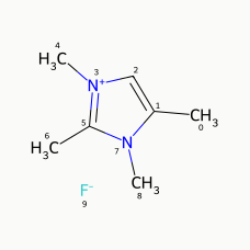 Cc1c[n+](C)c(C)n1C.[F-]